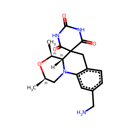 C[C@@H]1CN2c3cc(CN)ccc3CC3(C(=O)NC(=O)NC3=O)[C@H]2[C@H](C)O1